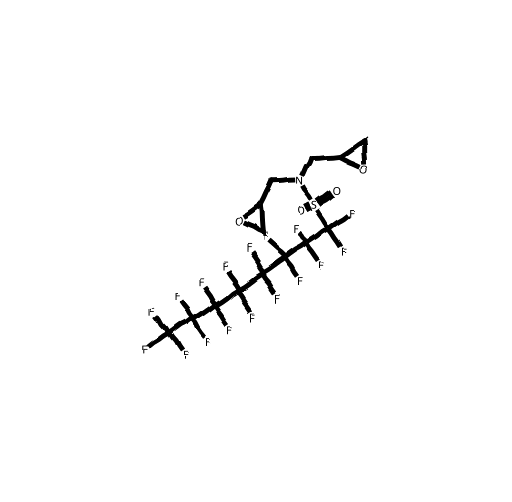 O=S(=O)(N(CC1CO1)CC1CO1)C(F)(F)C(F)(F)C(F)(F)C(F)(F)C(F)(F)C(F)(F)C(F)(F)C(F)(F)F